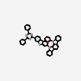 c1ccc(-c2nc(-c3ccccc3)nc(-c3ccc4c(c3)sc3cc(-n5c6ccccc6c6ccc7c8ccccc8n(-c8ccccc8)c7c65)ccc34)n2)cc1